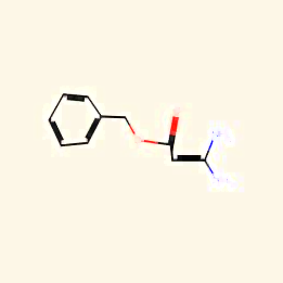 NC(N)=CC(=O)OCc1ccccc1